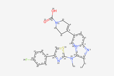 CCc1nc2ccc(C3=CCN(C(=O)O)CC3)cn2c1N(C)c1nc(-c2ccc(F)cc2)cs1